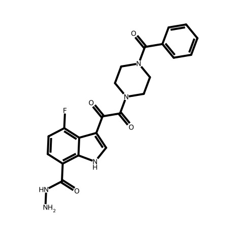 NNC(=O)c1ccc(F)c2c(C(=O)C(=O)N3CCN(C(=O)c4ccccc4)CC3)c[nH]c12